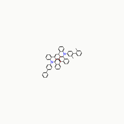 Cc1ccccc1-c1ccc(N(c2ccccc2C2C=C(c3ccccc3N(c3ccc(-c4ccccc4)cc3)c3cccc4ccccc34)C=CC2)c2cccc3ccccc23)cc1C